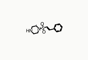 O=S(=O)(/C=C/c1ccccc1)N1[CH]CNCC1